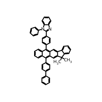 CC1(C)c2ccccc2-c2cc3c(-c4ccc(-c5nc6ccccc6n5-c5ccccc5)cc4)c4ccccc4c(-c4ccc(-c5ccccc5)cc4)c3cc21